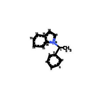 CC(c1ccccc1)n1ccc2ccccc21